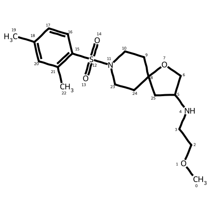 COCCNC1COC2(CCN(S(=O)(=O)c3ccc(C)cc3C)CC2)C1